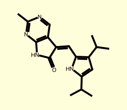 Cc1ncc2c(n1)NC(=O)C2=Cc1[nH]c(C(C)C)cc1C(C)C